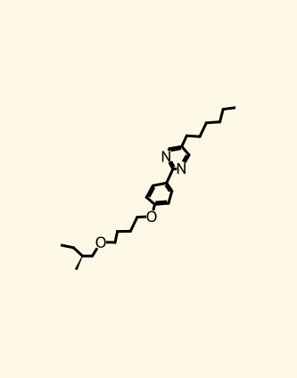 CCCCCCc1cnc(-c2ccc(OCCCCOC[C@@H](C)CC)cc2)nc1